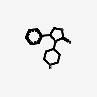 O=C1OCC(c2ccccc2)N1C1CCNCC1